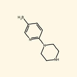 Bc1ccc(N2CCNCC2)nc1